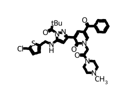 CN1CCN(C(=O)Cn2cc(C(=O)c3ccccc3)cc(-c3cc(NCc4ccc(Cl)s4)n(C(=O)C(C)(C)C)n3)c2=O)CC1